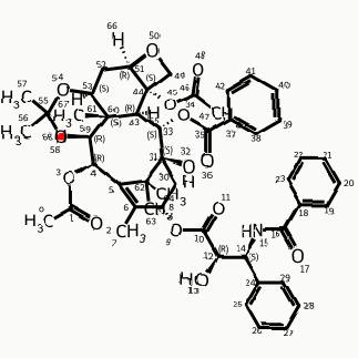 CC(=O)O[C@@H]1C2=C(C)[C@@H](OC(=O)[C@H](O)[C@@H](NC(=O)c3ccccc3)c3ccccc3)C[C@@](O)([C@@H](OC(=O)c3ccccc3)[C@@H]3[C@]4(OC(C)=O)CO[C@@H]4C[C@@H]4OC(C)(C)O[C@@H]1[C@]43C)C2(C)C